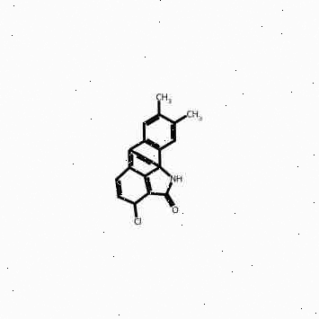 Cc1cc2c(cc1C)C13C=CC2=C2C=CC(Cl)C(=C21)C(=O)N3